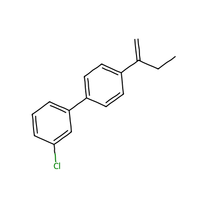 C=C(CC)c1ccc(-c2cccc(Cl)c2)cc1